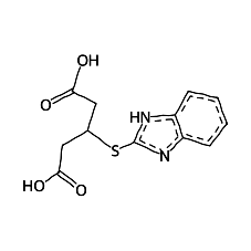 O=C(O)CC(CC(=O)O)Sc1nc2ccccc2[nH]1